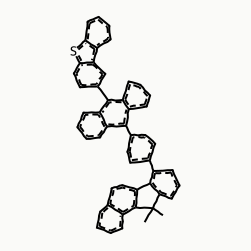 CC1(C)c2cccc(-c3ccc(-c4c5ccccc5c(-c5ccc6sc7ccccc7c6c5)c5ccccc45)cc3)c2-c2ccc3ccccc3c21